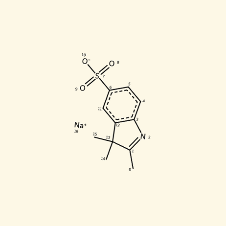 CC1=Nc2ccc(S(=O)(=O)[O-])cc2C1(C)C.[Na+]